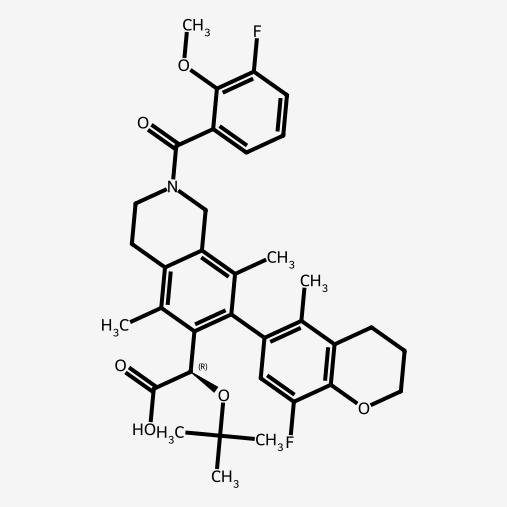 COc1c(F)cccc1C(=O)N1CCc2c(C)c([C@@H](OC(C)(C)C)C(=O)O)c(-c3cc(F)c4c(c3C)CCCO4)c(C)c2C1